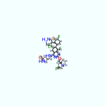 N#Cc1c(N)sc2c(F)ccc(-c3c(Cl)cc4c(NCC5CNC(=O)C5)nc(OC[C@@]56CCCN5C[C@H](F)C6)nc4c3F)c12